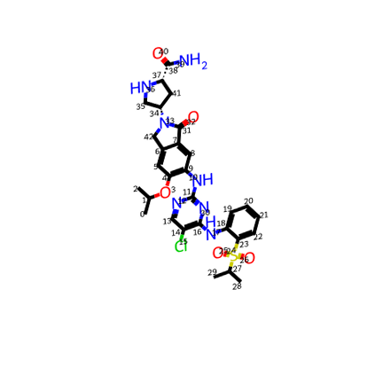 CC(C)Oc1cc2c(cc1Nc1ncc(Cl)c(Nc3ccccc3S(=O)(=O)C(C)C)n1)C(=O)N([C@@H]1CN[C@H](C(N)=O)C1)C2